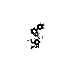 CCNC1=C(C=N)CC(Nc2nc3c(-c4ccc(F)cc4)cccn3n2)CC1